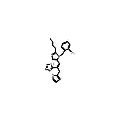 CCCCc1ncc(/C=C(/Cc2cccs2)c2nnn[nH]2)n1Cc1ccccc1O